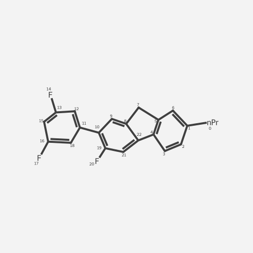 CCCc1ccc2c(c1)Cc1cc(-c3cc(F)cc(F)c3)c(F)cc1-2